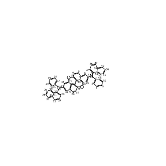 c1ccc(N(c2cc3ccc4oc5cc(N(c6ccccc6)c6cccc7ccccc67)cc6ccc7oc(c2)c3c4-c7c65)c2cccc3ccccc23)cc1